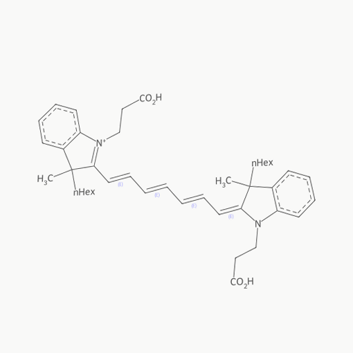 CCCCCCC1(C)C(/C=C/C=C/C=C/C=C2/N(CCC(=O)O)c3ccccc3C2(C)CCCCCC)=[N+](CCC(=O)O)c2ccccc21